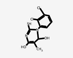 CC1=C(O)N=C(S)N(c2cccc(Cl)c2Cl)C1O